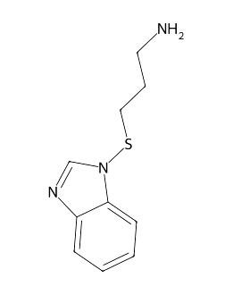 NCCCSn1cnc2ccccc21